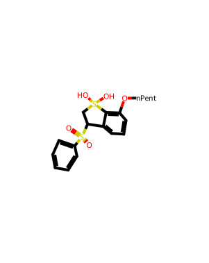 CCCCCOc1cccc2c1S(O)(O)CC2S(=O)(=O)c1ccccc1